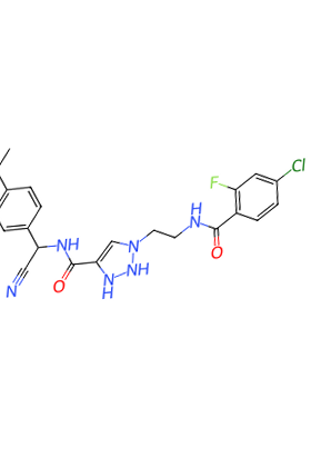 CCc1ccc(C(C#N)NC(=O)C2=CN(CCNC(=O)c3ccc(Cl)cc3F)NN2)cc1